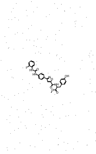 COC(=O)C(Cc1ccc(O)cc1)NC(=O)c1cc(-c2ccc(NC(=O)Nc3ccccc3F)cc2)no1